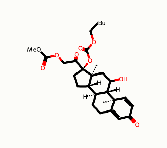 CCC(C)COC(=O)O[C@]1(C(=O)COC(=O)OC)CC[C@H]2[C@@H]3CCC4=CC(=O)C=C[C@]4(C)[C@H]3C(O)C[C@@]21C